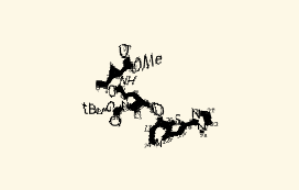 C=CC1CC1(NC(=O)C1CC(Oc2ccnc3cc(-c4nccn4C)sc23)CN1C(=O)OC(C)(C)C)C(=O)OC